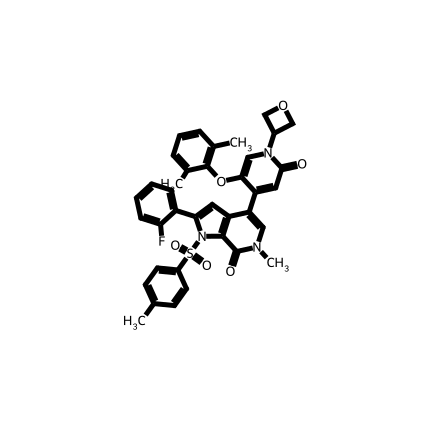 Cc1ccc(S(=O)(=O)n2c(-c3ccccc3F)cc3c(-c4cc(=O)n(C5COC5)cc4Oc4c(C)cccc4C)cn(C)c(=O)c32)cc1